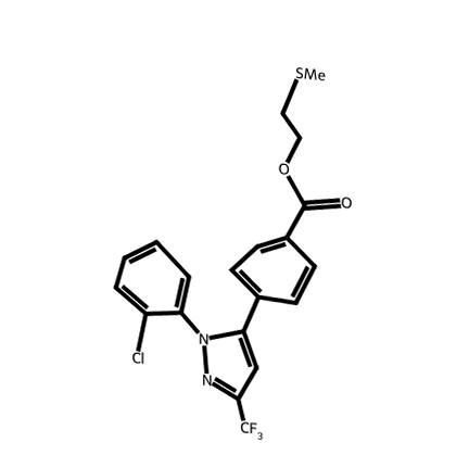 CSCCOC(=O)c1ccc(-c2cc(C(F)(F)F)nn2-c2ccccc2Cl)cc1